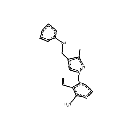 C=Cc1c(-n2cc(CNc3ccccc3)c(C)n2)ccnc1N